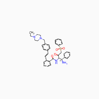 CCN1CCN(Cc2ccc(C=Cc3ccccc3C(=O)NC(C(=O)CS(=O)(=O)c3ccccc3)[C@H](N)c3ccccc3)cc2)CC1